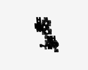 CCc1cc(NCc2ccc(-c3ccccc3-c3nnn[nH]3)cc2)n2cnc(C)c2n1